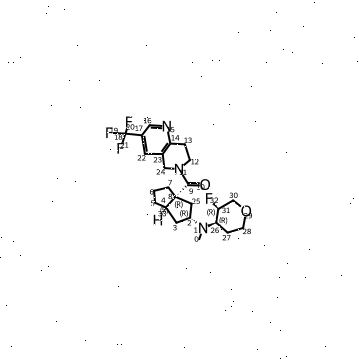 CN([C@@H]1C[C@H]2CCC[C@@]2(C(=O)N2CCc3ncc(C(F)(F)F)cc3C2)C1)[C@@H]1CCOC[C@@H]1F